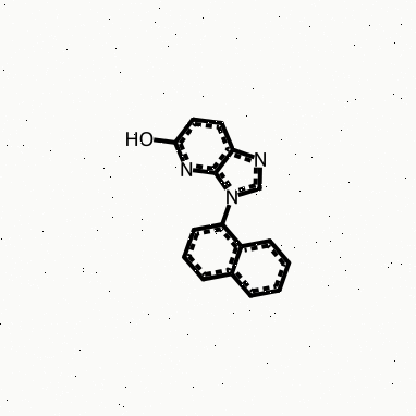 Oc1ccc2ncn(-c3cccc4ccccc34)c2n1